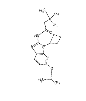 CC(C)Oc1ccc2nc(NC(=O)CC(C)(C)O)n(C3CCC3)c2n1